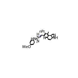 C=NC(N/C=C/c1nc2c(c(C)c1CCC)C1C=NNC1C=C2)NC1C=CC(OC)=CC1